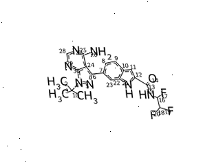 CC(C)(C)n1nc(-c2ccc3cc(C(=O)NC(F)C(F)F)[nH]c3c2)c2c(N)ncnc21